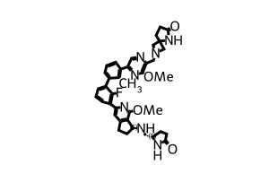 COc1nc(-c2cccc(-c3cccc(-c4cc5c(c(OC)n4)[C@@H](NC[C@@H]4CCC(=O)N4)CC5)c3F)c2C)cnc1CN1CC2(CCC(=O)N2)C1